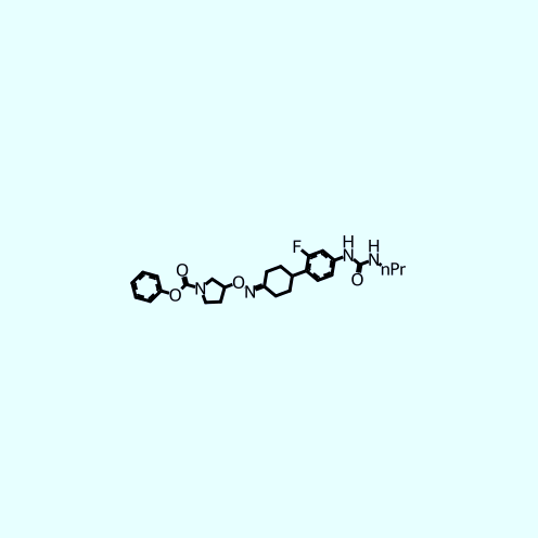 CCCNC(=O)Nc1ccc(C2CCC(=NOC3CCN(C(=O)Oc4ccccc4)C3)CC2)c(F)c1